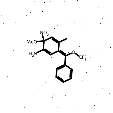 COC1([N+](=O)[O-])C=C(C)C(=C(OC(F)(F)F)c2ccccc2)C=C1N